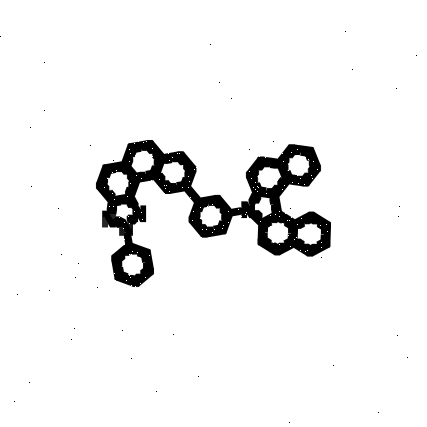 c1ccc(-n2nc3ccc4ccc5ccc(-c6cccc(-n7c8ccc9ccccc9c8c8c9ccccc9ccc87)c6)cc5c4c3n2)cc1